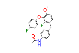 COc1ccc(Cc2ccc(NC(C)=O)cc2)c(F)c1Oc1ccc(F)cc1